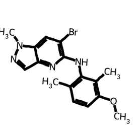 COc1ccc(C)c(Nc2nc3cnn(C)c3cc2Br)c1C